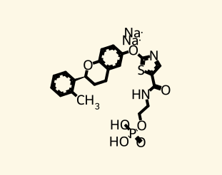 Cc1ccccc1[C@@H]1CCc2cc(Oc3ncc(C(=O)NCCOP(=O)(O)O)s3)ccc2O1.[Na].[Na]